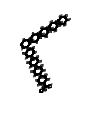 C1CCCCC1.C1CCCCC1.C1CCCCC1.C1CCCCC1.C1CCCCC1.C1CCCCC1.C1CCCCC1.C1CCCCC1.ClC(Cl)C1CCCCC1